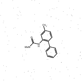 [CH2]c1ccc(-c2ccccc2)c(NC(=O)NC)c1